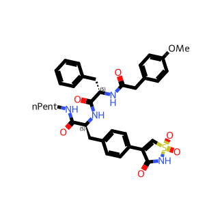 CCCCCNC(=O)[C@H](Cc1ccc(C2=CS(=O)(=O)NC2=O)cc1)NC(=O)[C@H](Cc1ccccc1)NC(=O)Cc1ccc(OC)cc1